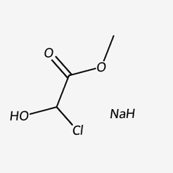 COC(=O)C(O)Cl.[NaH]